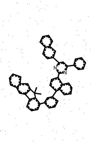 CC1(C)c2cc3ccccc3cc2-c2cccc(-c3cccc(-c4ccc(-c5nc(-c6ccccc6)cc(-c6ccc7ccccc7c6)n5)c5ccccc45)c3)c21